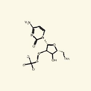 Nc1ccn([C@@H]2O[C@H](CO)C(O)C2SSC(Cl)(Cl)Cl)c(=O)n1